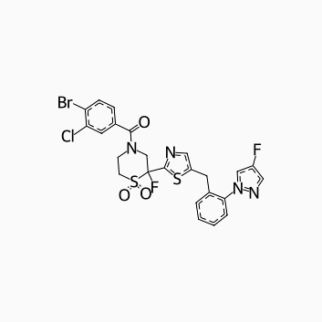 O=C(c1ccc(Br)c(Cl)c1)N1CCS(=O)(=O)C(F)(c2ncc(Cc3ccccc3-n3cc(F)cn3)s2)C1